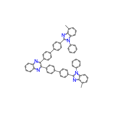 Cc1cccc2c1nc(-c1ccc(-c3ccc(-c4nc5ccccc5nc4-c4ccc(-c5ccc(-c6nc7c(C)cccc7n6-c6ccccc6)cc5)cc4)cc3)cc1)n2-c1ccccc1